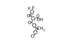 CN(c1ccc(Cl)cc1)c1ccc(C(=O)c2cc(C(=O)O)cc([S+]([O-])c3ccc(F)c(F)c3)c2)cc1